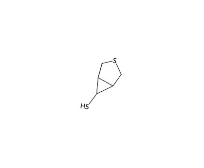 SC1C2CSCC12